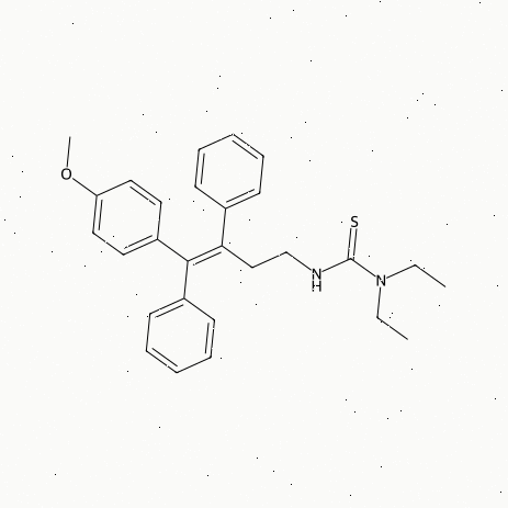 CCN(CC)C(=S)NCC/C(=C(\c1ccccc1)c1ccc(OC)cc1)c1ccccc1